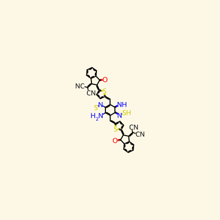 N#CC(C#N)=C1/C(=c2\cc/c(=C\C3=C(N=S)C(N)=C(/C=c4\cc/c(=C5/C(=O)c6ccccc6C5=C(C#N)C#N)s4)/C(=N/S)C3=N)s2)C(=O)c2ccccc21